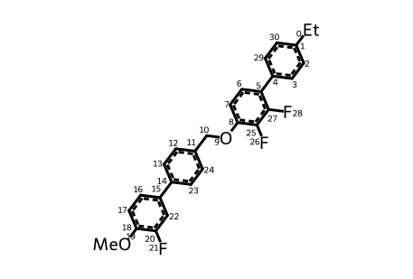 CCc1ccc(-c2ccc(OCc3ccc(-c4ccc(OC)c(F)c4)cc3)c(F)c2F)cc1